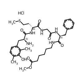 COC(=O)CCCCCNC(=O)[C@H](Cc1ccccc1)NC(=O)CNC(=O)[C@@H](CCSC)NC(=O)[C@@H](N)Cc1ccc(C)c(O)c1C.Cl